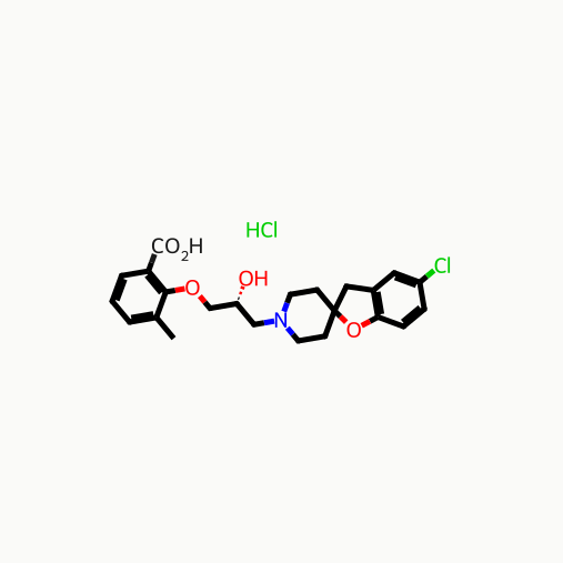 Cc1cccc(C(=O)O)c1OC[C@H](O)CN1CCC2(CC1)Cc1cc(Cl)ccc1O2.Cl